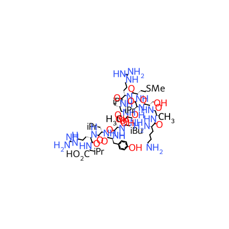 CC[C@H](C)[C@H](NC(=O)[C@@H](NC(=O)[C@H](CC(C)C)NC(=O)[C@H](CCCNC(=N)N)NC(=O)[C@H](CCSC)NC(=O)[C@@H](NC(=O)[C@H](CO)NC(=O)[C@H](C)NC(=O)[C@@H](N)CCCCN)C(C)C)[C@@H](C)O)C(=O)N[C@@H](CO)C(=O)N[C@@H](Cc1ccc(O)cc1)C(=O)N[C@@H](CC(C)C)C(=O)N[C@@H](CCCNC(=N)N)C(=O)N[C@H](C(=O)O)C(C)C